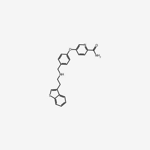 NC(=O)c1ccc(Oc2ccc(CNCCc3csc4ccccc34)cc2)cn1